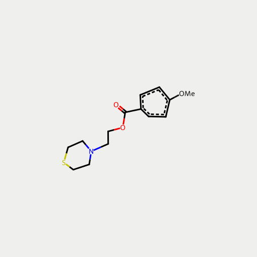 COc1ccc(C(=O)OCCN2CCSCC2)cc1